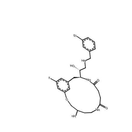 CCCC1CCNC(=O)CCC(=O)N[C@H]([C@H](O)CNCc2cccc(CC)c2)Cc2cc(F)cc(c2)OC1